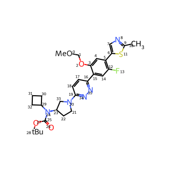 COCOc1cc(-c2cnc(C)s2)c(F)cc1-c1ccc(N2CC[C@@H](N(C(=O)OC(C)(C)C)C3CCC3)C2)nn1